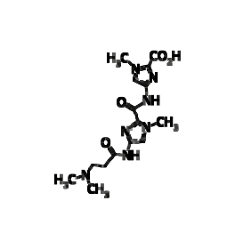 CN(C)CCC(=O)Nc1cn(C)c(C(=O)Nc2cn(C)c(C(=O)O)n2)n1